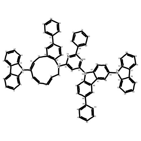 C1=C\C(n2c3ccccc3c3ccccc32)=C/Cc2cc(-c3ccccc3)ccc2N(c2cc(-n3c4ccc(-c5ccccc5)cc4c4cc(-n5c6ccccc6c6ccccc65)ccc43)nc(-c3ccccc3)n2)C/C=C/1